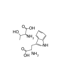 CC(O)[C@H](N)C(=O)O.N[C@@H](Cc1c[nH]c2ccccc12)C(=O)O